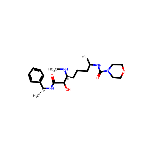 C[C@@H](NC(=O)C(O)[C@H](CCCC(NC(=O)N1CCOCC1)C(C)(C)C)NC(=O)O)c1ccccc1